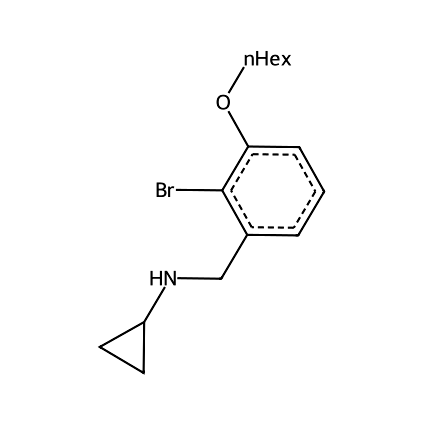 CCCCCCOc1cccc(CNC2CC2)c1Br